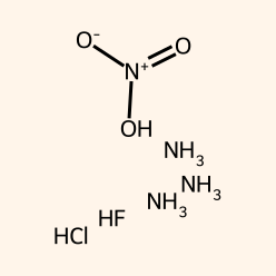 Cl.F.N.N.N.O=[N+]([O-])O